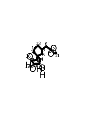 O[C@@H]1[C@H](O)CC23CC(CC4OCO4)CCC2O[C@@H]1C3